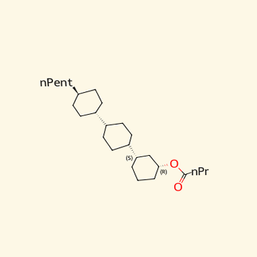 CCCCC[C@H]1CC[C@H](C2CCC([C@H]3CCC[C@@H](OC(=O)CCC)C3)CC2)CC1